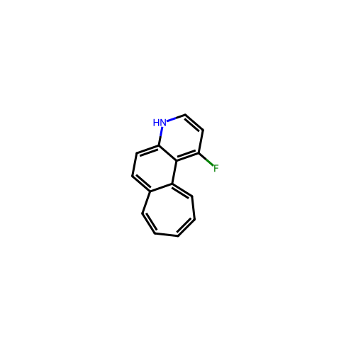 FC1=c2c(ccc3c2=CC=CC=C3)NC=C1